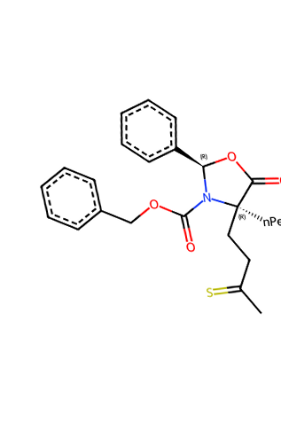 CCCCC[C@@]1(CCC(C)=S)C(=O)O[C@H](c2ccccc2)N1C(=O)OCc1ccccc1